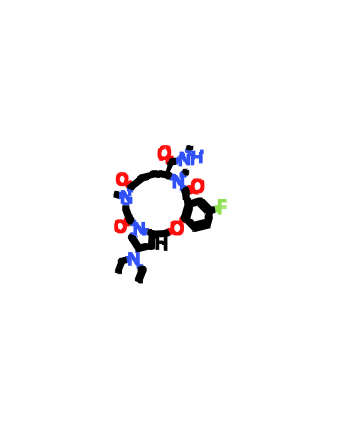 CCN(CC)[C@H]1C[C@H]2COc3ccc(F)cc3C(=O)N(C)[C@H](C(=O)NC)CCC(=O)N(C)CC(=O)N2C1